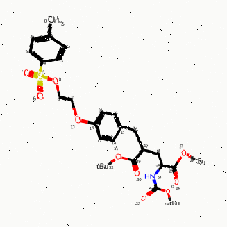 Cc1ccc(S(=O)(=O)OCCOc2ccc(CC(CC(NC(=O)OC(C)(C)C)C(=O)OC(C)(C)C)C(=O)OC(C)(C)C)cc2)cc1